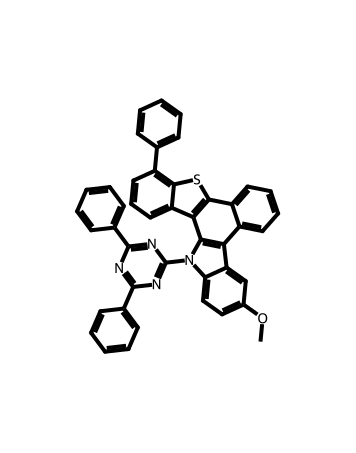 COc1ccc2c(c1)c1c3ccccc3c3sc4c(-c5ccccc5)cccc4c3c1n2-c1nc(-c2ccccc2)nc(-c2ccccc2)n1